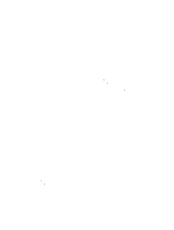 Clc1cccc(-c2nc(OCC3CC(c4ccc(CN5CCCC5)cc4)C3)nc3ccccc23)c1